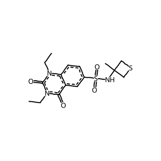 CCn1c(=O)c2cc(S(=O)(=O)NC3(C)CSC3)ccc2n(CC)c1=O